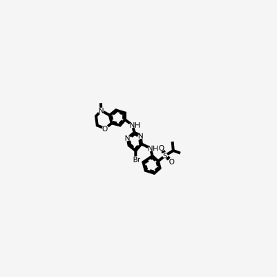 CC(C)S(=O)(=O)c1ccccc1Nc1nc(Nc2ccc3c(c2)OCCN3C)ncc1Br